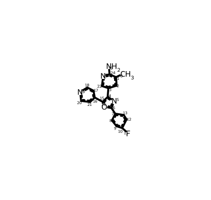 Cc1cc(-c2nc(-c3ccc(F)cc3)oc2-c2ccncc2)cnc1N